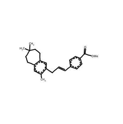 COC(=O)c1ccc(/C=C/Cc2cc3c(cc2C)CCC(C)(C)CC3)cc1